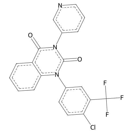 O=c1c2ccccc2n(-c2ccc(Cl)c(C(F)(F)F)c2)c(=O)n1-c1cccnc1